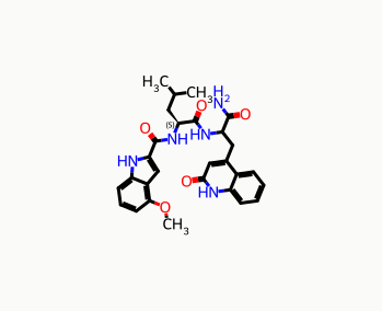 COc1cccc2[nH]c(C(=O)N[C@@H](CC(C)C)C(=O)NC(Cc3cc(=O)[nH]c4ccccc34)C(N)=O)cc12